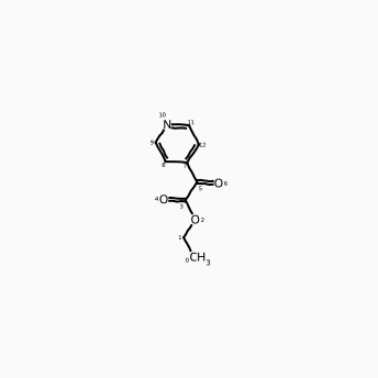 CCOC(=O)C(=O)c1ccncc1